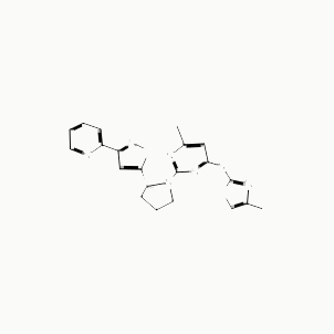 Cc1cc(Nc2nc(C)cs2)nc(N2CCC[C@H]2c2cc(-c3ccccn3)no2)n1